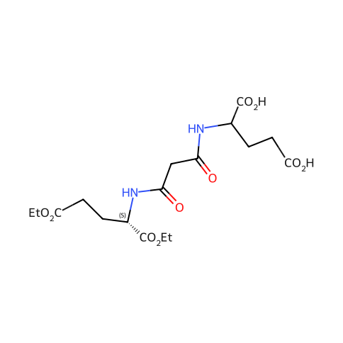 CCOC(=O)CC[C@H](NC(=O)CC(=O)NC(CCC(=O)O)C(=O)O)C(=O)OCC